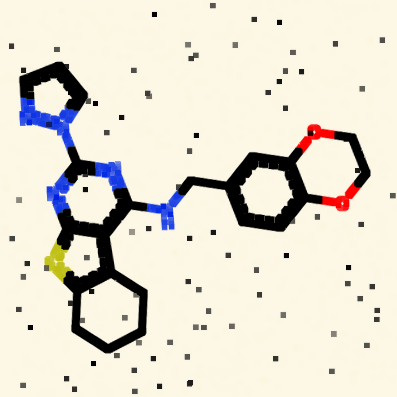 c1cnn(-c2nc(NCc3ccc4c(c3)OCCO4)c3c4c(sc3n2)CCCC4)c1